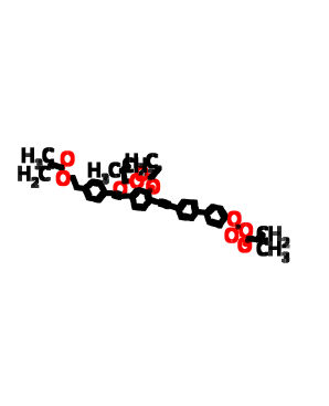 C=CC(=O)Oc1c(C#Cc2ccc(-c3ccc(OC(=O)OC(=O)C(=C)C)cc3)cc2)ccc(C#Cc2ccc(CCOC(=O)C(=C)C)cc2)c1OC(=O)C(=C)C